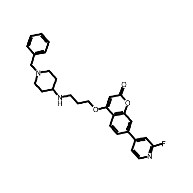 O=c1cc(OCCCNC2CCN(Cc3ccccc3)CC2)c2ccc(-c3ccnc(F)c3)cc2o1